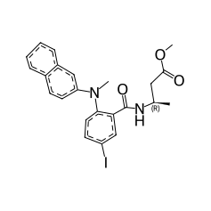 COC(=O)C[C@@H](C)NC(=O)c1cc(I)ccc1N(C)c1ccc2ccccc2c1